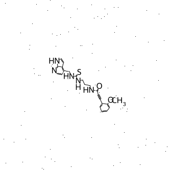 COc1ccccc1C#CC(=O)NCCCNC(=S)NCc1ccnc2[nH]ccc12